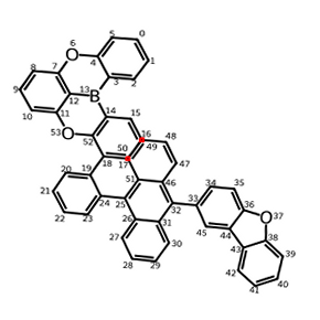 c1ccc2c(c1)Oc1cccc3c1B2c1cccc(-c2ccccc2-c2c4ccccc4c(-c4ccc5oc6ccccc6c5c4)c4ccccc24)c1O3